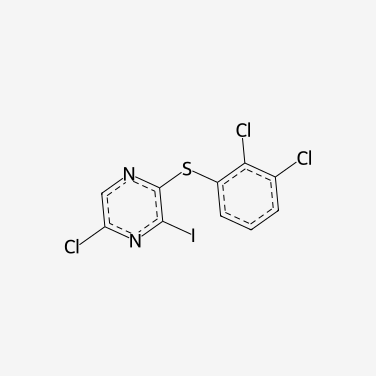 Clc1cnc(Sc2cccc(Cl)c2Cl)c(I)n1